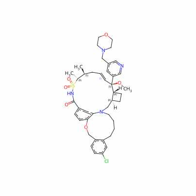 CO[C@]1(c2cncc(CN3CCOCC3)c2)/C=C/C[C@H](C)[C@@H](C)S(=O)(=O)NC(=O)c2ccc3c(c2)N(CCCCc2cc(Cl)ccc2CO3)C[C@@H]2CC[C@H]21